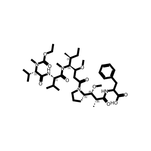 CCOC(=O)N(C)[C@H](C(=O)N[C@H](C(=O)N(C)[C@H](C(CC(=O)N1CCC[C@H]1[C@H](OC)[C@@H](C)C(=O)NC(Cc1ccccc1)C(=O)O)OC)[C@@H](C)CC)C(C)C)C(C)C